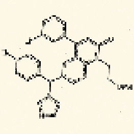 COCCn1c(=O)cc(-c2cccc(Cl)c2)c2cc(C(c3ccc(Cl)cc3)n3ccnc3)ccc21